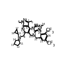 Cc1nn(C)c2nc(CN(C3CCCC3)C3CC3)c(CN(Cc3cc(C(F)(F)F)cc(C(F)(F)F)c3)c3nnn(C)n3)cc12